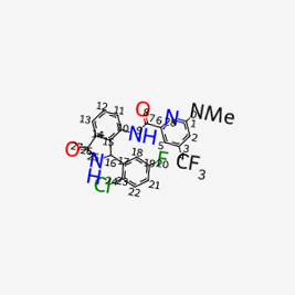 CNc1cc(C(F)(F)F)cc(C(=O)Nc2cccc3c2C(c2cc(F)ccc2Cl)NC3=O)n1